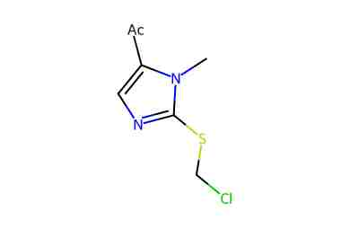 CC(=O)c1cnc(SCCl)n1C